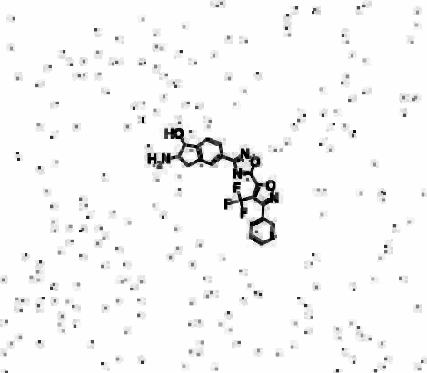 NC1Cc2cc(-c3noc(-c4onc(-c5ccccc5)c4C(F)(F)F)n3)ccc2C1O